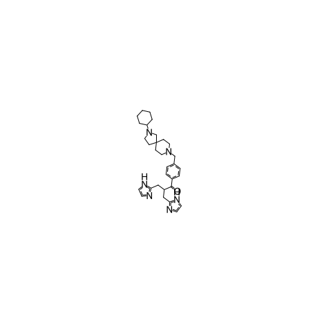 O=C(c1ccc(CN2CCC3(CC2)CCN(C2CCCCC2)C3)cc1)C(Cc1ncc[nH]1)Cc1ncc[nH]1